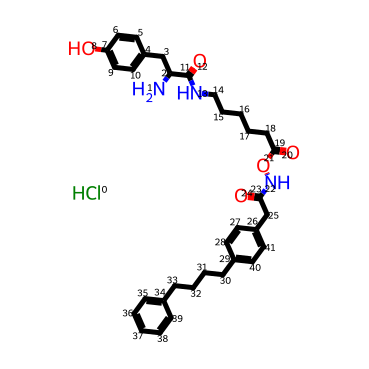 Cl.NC(Cc1ccc(O)cc1)C(=O)NCCCCCC(=O)ONC(=O)Cc1ccc(CCCCc2ccccc2)cc1